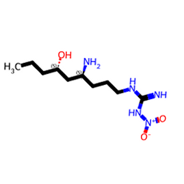 CCC[C@H](O)C[C@@H](N)CCCNC(=N)N[N+](=O)[O-]